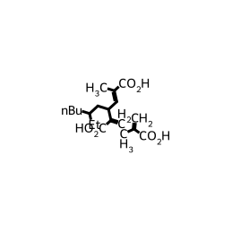 C=C(C(=O)O)C(C=C(C)C(=O)O)CC(CC)CCCC.C=C(C)C(=O)O